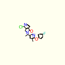 Cc1cc(C(C)N2Cc3c(ccnc3Cl)C2=O)cnc1Oc1ccc(F)cc1